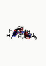 CCC(OC(=O)N(C)C)C(C)C1OC1CC(C)/C=C/C=C(\C)C1OC(=O)CC(C)CCC(C)(C)C(OC(=O)N2CCN(C)CC2)/C=C/C1C